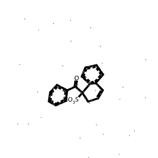 O=C(c1ccccc1)C1(S(=O)(=O)O)CC=Cc2ccccc21